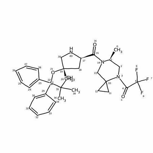 C[C@H]1CN(C(=O)C(F)(F)F)C2(CC2)CN1C(=O)[C@H]1C[C@](C)(O[Si](c2ccccc2)(c2ccccc2)C(C)(C)C)CN1